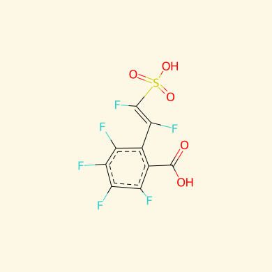 O=C(O)c1c(F)c(F)c(F)c(F)c1C(F)=C(F)S(=O)(=O)O